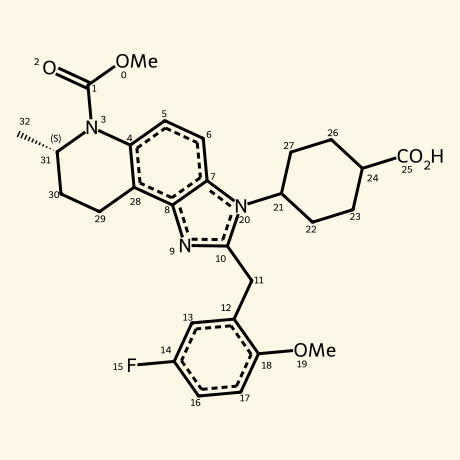 COC(=O)N1c2ccc3c(nc(Cc4cc(F)ccc4OC)n3C3CCC(C(=O)O)CC3)c2CC[C@@H]1C